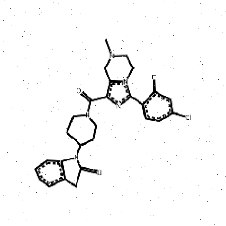 CN1CCn2c(-c3ccc(Cl)cc3F)nc(C(=O)N3CCC(N4C(=O)Cc5ccccc54)CC3)c2C1